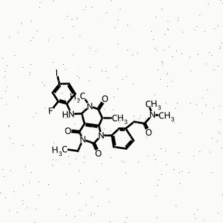 CCn1c(=O)c2c(n(-c3cccc(CC(=O)N(C)C)c3)c1=O)C(C)C(=O)N(C)C2Nc1ccc(I)cc1F